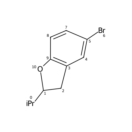 CC(C)C1Cc2cc(Br)ccc2O1